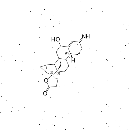 CC[C@]12CCC3C(CC(O)C4=CC(=N)CC[C@@H]43)C1C1CC1[C@@]21CCC(=O)O1